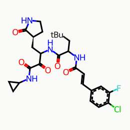 CC(C)(C)CC(NC(=O)/C=C/c1ccc(Cl)c(F)c1)C(=O)NC(C[C@@H]1CCNC1=O)C(=O)C(=O)NC1CC1